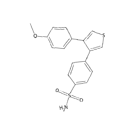 COc1ccc(-c2cscc2-c2ccc(S(N)(=O)=O)cc2)cc1